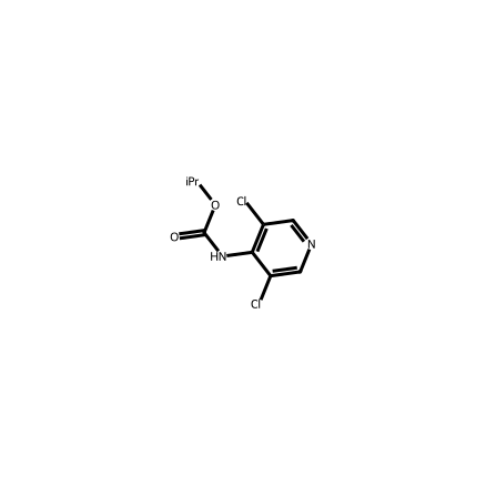 CC(C)OC(=O)Nc1c(Cl)cncc1Cl